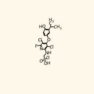 CC(C)c1cc(Oc2c(Cl)c(F)nc(NCS(=O)(=O)O)c2Cl)ccc1O